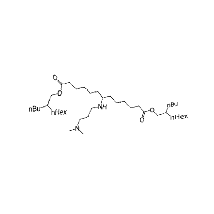 CCCCCCC(CCCC)COC(=O)CCCCCC(CCCCCC(=O)OCC(CCCC)CCCCCC)NCCCN(C)C